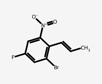 CC=Cc1c(Br)cc(F)cc1[N+](=O)[O-]